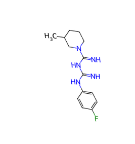 CC1CCCN(C(=N)NC(=N)Nc2ccc(F)cc2)C1